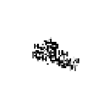 CCNC(=O)[C@H](NC(=O)C(C)(COC)c1ccc2nc([C@@H](NC(=O)c3ccnn3C)[C@H](c3ccccc3Cl)C3(C)CC3)[nH]c2c1)C(C)(C)C